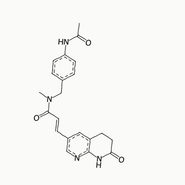 CC(=O)Nc1ccc(CN(C)C(=O)C=Cc2cnc3c(c2)CCC(=O)N3)cc1